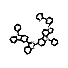 c1ccc(-n2c3ccccc3c3cc(-c4nc(-c5ccc6c(c5)c5ccc7c(ccn7-c7cccc(-c8ccccn8)c7)c5n6-c5ccccc5)nc5ccccc45)ccc32)cc1